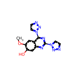 COc1cc2c(-n3ccnn3)nc(-n3ccnn3)nc2cc1O